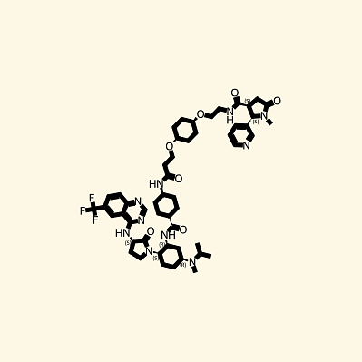 CC(C)N(C)[C@@H]1CC[C@H](N2CC[C@H](Nc3ncnc4ccc(C(F)(F)F)cc34)C2=O)[C@H](NC(=O)[C@H]2CC[C@H](NC(=O)CCO[C@H]3CC[C@H](OCCNC(=O)[C@H]4CC(=O)N(C)[C@@H]4c4cccnc4)CC3)CC2)C1